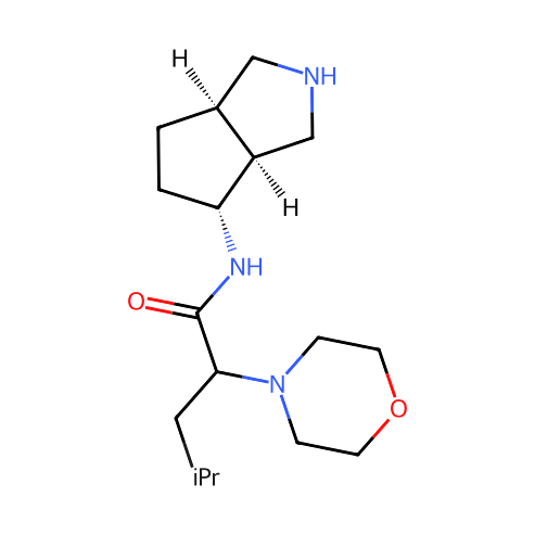 CC(C)CC(C(=O)N[C@@H]1CC[C@H]2CNC[C@H]21)N1CCOCC1